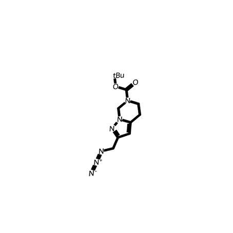 CC(C)(C)OC(=O)N1CCc2cc(CN=[N+]=[N-])nn2C1